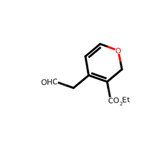 CCOC(=O)C1=C(CC=O)C=COC1